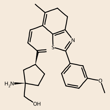 C=C(/C=C\C1=C(C)CCc2nc(-c3cccc(OC)c3)sc21)[C@H]1CC[C@](N)(CO)C1